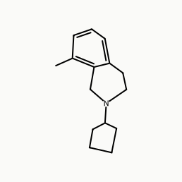 Cc1cccc2c1CN(C1CCCC1)CC2